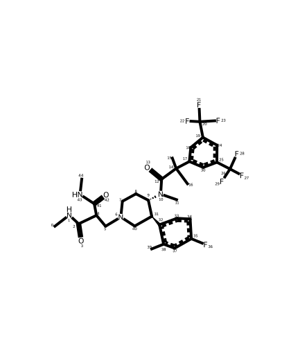 CNC(=O)C(CN1CC[C@H](N(C)C(=O)C(C)(C)c2cc(C(F)(F)F)cc(C(F)(F)F)c2)[C@@H](c2ccc(F)cc2C)C1)C(=O)NC